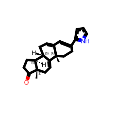 C[C@]12CCC(c3ccc[nH]3)=CC1=CC[C@@H]1C2=CC[C@]2(C)C(=O)CC[C@@H]12